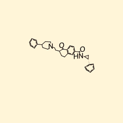 O=C(N[C@@H]1C[C@@H]1c1ccccc1)c1ccc2c(c1)CCC(CCN1CCC(c3ccccc3)CC1)C2=O